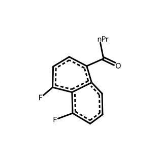 CCCC(=O)c1ccc(F)c2c(F)cccc12